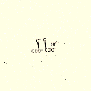 O=C([O-])[O-].O=C([O-])[O-].[Hf+4]